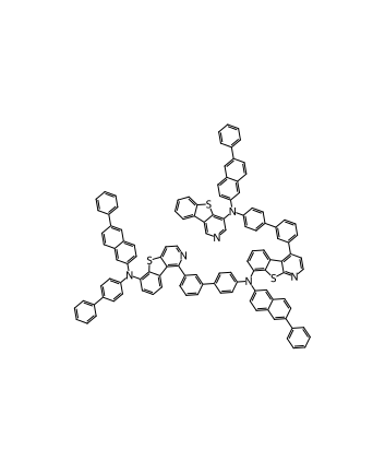 c1ccc(-c2ccc(N(c3ccc4cc(-c5ccccc5)ccc4c3)c3cccc4c3sc3ccnc(-c5cccc(-c6ccc(N(c7ccc8cc(-c9ccccc9)ccc8c7)c7cccc8c7sc7nccc(-c9cccc(-c%10ccc(N(c%11ccc%12cc(-c%13ccccc%13)ccc%12c%11)c%11cncc%12c%11sc%11ccccc%11%12)cc%10)c9)c78)cc6)c5)c34)cc2)cc1